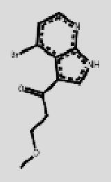 COCCC(=O)c1c[nH]c2nccc(Br)c12